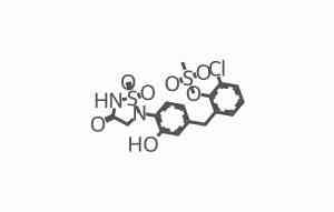 CS(=O)(=O)Oc1c(Cl)cccc1Cc1ccc(N2CC(=O)NS2(=O)=O)c(O)c1